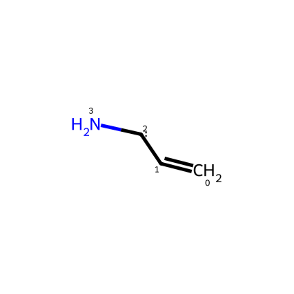 C=C[C]N